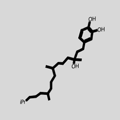 CC(C)CCCC(C)CCCC(C)CCCC(C)(O)CCc1ccc(O)c(O)c1